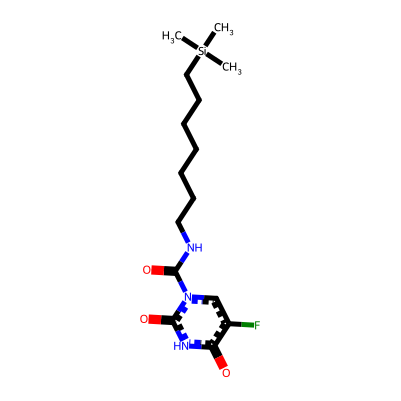 C[Si](C)(C)CCCCCCCNC(=O)n1cc(F)c(=O)[nH]c1=O